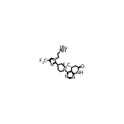 CC(C)(C)NCCn1cc(C(F)(F)F)nc1C1CCN(c2ncnc3c2[C@H](C(F)(F)F)CC(=O)N3)CC1